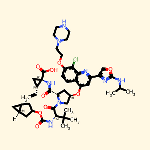 C=C[C@@H]1C[C@]1(NC(=O)[C@@H]1C[C@@H](Oc2cc(-c3coc(NC(C)C)n3)nc3c(Cl)c(OCCN4CCNCC4)ccc23)CN1C(=O)[C@@H](NC(=O)OC1CC2C[C@@H]2C1)C(C)(C)C)C(=O)O